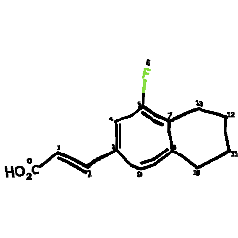 O=C(O)C=Cc1cc(F)c2c(c1)CCCC2